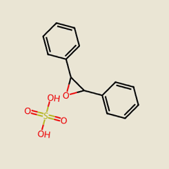 O=S(=O)(O)O.c1ccc(C2OC2c2ccccc2)cc1